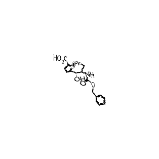 CC(C)CC(NC(=O)OCc1ccccc1)[C@H](O)c1ccc(C(=O)O)s1